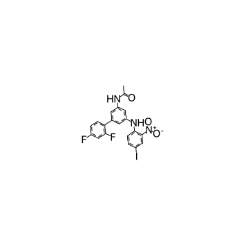 CC(=O)Nc1cc(Nc2ccc(I)cc2[N+](=O)[O-])cc(-c2ccc(F)cc2F)c1